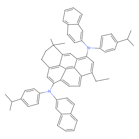 CCc1cc(N(c2ccc(C(C)C)cc2)c2ccc3ccccc3c2)c2cc3c4c(cc(N(c5ccc(C(C)C)cc5)c5ccc6ccccc6c5)c5ccc1c2c54)CCC3(C)C